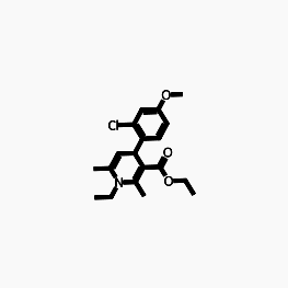 CCOC(=O)C1=C(C)N(CC)C(C)=CC1c1ccc(OC)cc1Cl